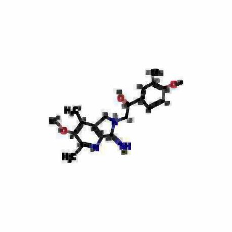 CCOc1c(C)nc2c(c1C)CN(CC(=O)c1ccc([O])c(C(C)(C)C)c1)C2=N